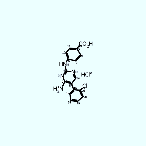 Cl.Nc1nc(Nc2ccc(C(=O)O)cc2)ncc1-c1ccccc1Cl